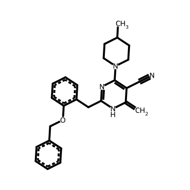 C=C1NC(Cc2ccccc2OCc2ccccc2)=NC(N2CCC(C)CC2)=C1C#N